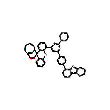 C1=CC2=CC(C=C1)C1(c3ccccc3Oc3c(-c4cc(-c5ccc(-c6cccc7c6oc6ccccc67)cc5)nc(-c5ccccc5)n4)cccc31)c1ccccc12